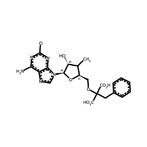 CC1[C@@H](O)[C@H](n2cnc3c(N)nc(Cl)nc32)O[C@@H]1COC(Cc1ccccc1)(C(=O)O)C(=O)O